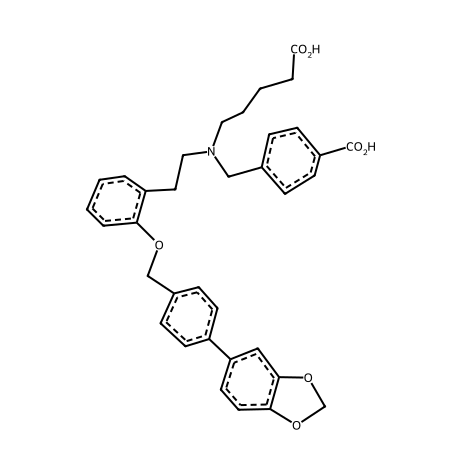 O=C(O)CCCCN(CCc1ccccc1OCc1ccc(-c2ccc3c(c2)OCO3)cc1)Cc1ccc(C(=O)O)cc1